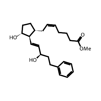 COC(=O)CCC/C=C\C[C@H]1CC[C@@H](O)[C@@H]1/C=C/[C@H](O)CCc1ccccc1